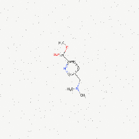 COC(=O)c1ccc(CN(C)C)cn1